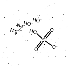 O=S(=O)([O-])O.[Mg+2].[Na+].[OH-].[OH-]